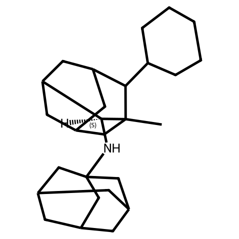 CC12CC3CC(CC(C3)[C@@H]1NC13CC4CC(CC(C4)C1)C3)C2C1CCCCC1